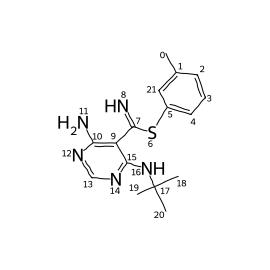 Cc1cccc(SC(=N)c2c(N)ncnc2NC(C)(C)C)c1